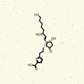 O=C(O)c1ccc(CCC[C@@H]2[C@@H](/C=C/[C@@H](O)CCCCCO)[C@H](O)C[C@H]2Cl)s1